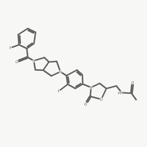 CC(=O)NCC1CN(c2ccc(N3CC4CN(C(=O)c5ccccc5F)CC4C3)c(F)c2)C(=O)O1